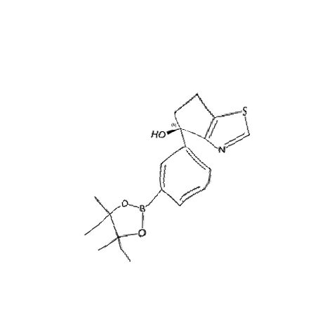 CC1(C)OB(c2cccc([C@]3(O)CCc4scnc43)c2)OC1(C)C